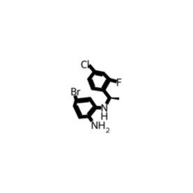 C[C@@H](Nc1cc(Br)ccc1N)c1ccc(Cl)cc1F